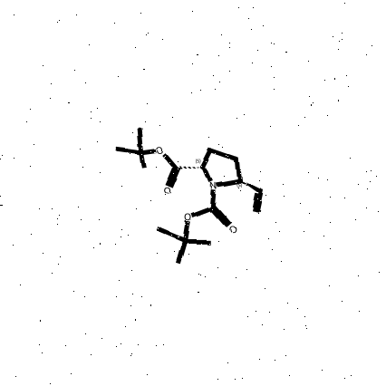 C=C[C@@H]1CC[C@@H](C(=O)OC(C)(C)C)N1C(=O)OC(C)(C)C